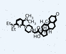 CCN(CC)c1ccc(N(C)C)c(N2CCN(CC(=O)[C@@]3(O)CC[C@H]4[C@@H]5CCC6=CC(=O)CC[C@]6(C)C5=CC[C@@]43C)CC2)n1